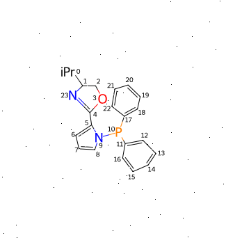 CC(C)C1COC(c2cccn2P(c2ccccc2)c2ccccc2)=N1